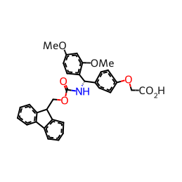 COc1ccc([C@@H](NC(=O)OCC2c3ccccc3-c3ccccc32)c2ccc(OCC(=O)O)cc2)c(OC)c1